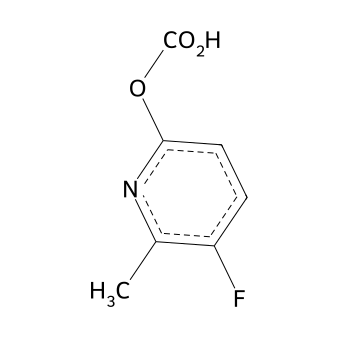 Cc1nc(OC(=O)O)ccc1F